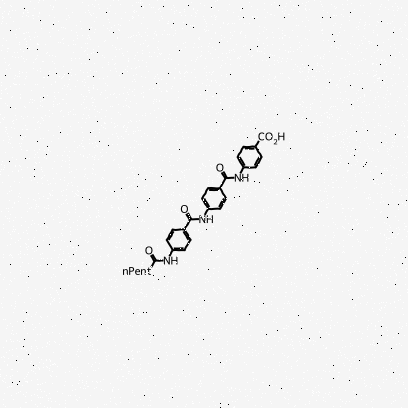 CCCCCC(=O)Nc1ccc(C(=O)Nc2ccc(C(=O)Nc3ccc(C(=O)O)cc3)cc2)cc1